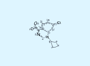 O=S1(=O)N=CN(C2CCC2)c2cc(Cl)ccc21